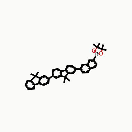 CC1(C)c2ccccc2-c2ccc(-c3ccc4c(c3)C(C)(C)c3cc(-c5ccc6ccc(B7OC(C)(C)C(C)(C)O7)cc6c5)ccc3-4)cc21